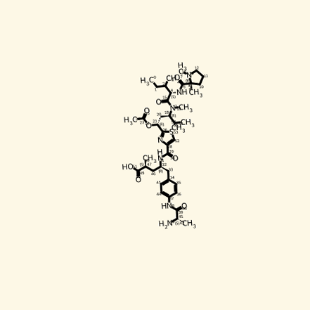 CCC(C)[C@H](NC(=O)[C@@]1(C)CCCN1C)C(=O)N(C)[C@H](C[C@@H](OC(C)=O)c1nc(C(=O)N[C@@H](Cc2ccc(NC(=O)[C@H](C)N)cc2)C[C@H](C)C(=O)O)cs1)C(C)C